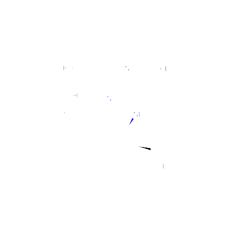 CCc1cnc(CC)c(N[C@@H]2c3cc(OC)ccc3C[C@@H]2CC)n1